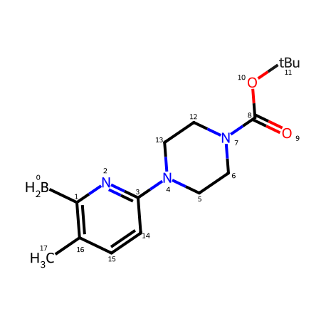 Bc1nc(N2CCN(C(=O)OC(C)(C)C)CC2)ccc1C